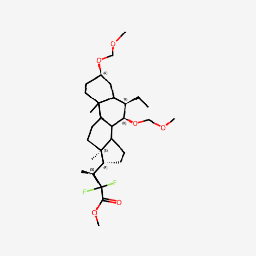 CC[C@@H]1C2C[C@H](OCOC)CCC2(C)C2CC[C@@]3(C)C(CC[C@@H]3[C@H](C)C(F)(F)C(=O)OC)C2[C@@H]1OCOC